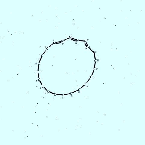 C1CCCCCCCC/N=N/N=N/N=N/CCCCCCC1